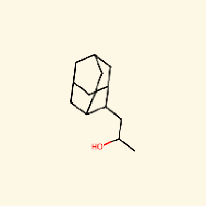 CC(O)CC1C2CC3CC(C2)CC1C3